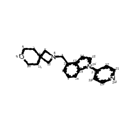 c1cc(CN2CC3(CCOCC3)C2)c2ccn(-c3ccncc3)c2c1